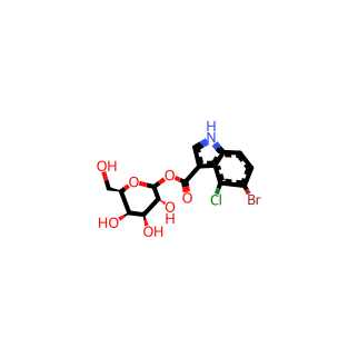 O=C(OC1O[C@H](CO)[C@H](O)[C@H](O)[C@H]1O)c1c[nH]c2ccc(Br)c(Cl)c12